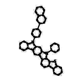 c1ccc(-n2c3cc4c(cc3c3ccc5c6ccccc6sc5c32)c2ccccc2n4-c2ccc(-c3ccc4ccccc4c3)cc2)cc1